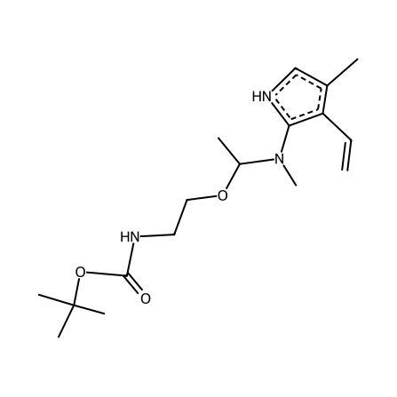 C=Cc1c(C)c[nH]c1N(C)C(C)OCCNC(=O)OC(C)(C)C